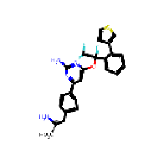 Nc1nc(OC(F)(c2ccccc2-c2ccsc2)C(F)F)cc(-c2ccc(C[C@H](N)C(=O)O)cc2)n1